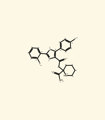 NC(=O)C1([CH]C(=O)c2nc(-c3ccccc3F)sc2-c2ccc(F)cc2)CCCCN1